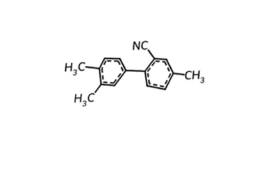 Cc1ccc(-c2ccc(C)c(C)c2)c(C#N)c1